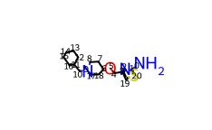 Nc1nc(COC2CCN(CC3CCCCC3)CC2)cs1